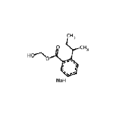 CCC(C)c1ccccc1C(=O)OCO.[NaH]